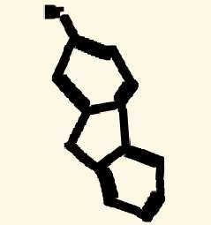 Brc1ccc2c(c1)[CH]c1ccccc1-2